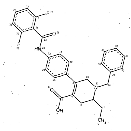 CCC1CC(C(=O)O)=C(c2ccc(NC(=O)c3c(F)cccc3F)cc2)CN1Cc1ccccc1